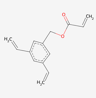 C=CC(=O)OCc1cc(C=C)cc(C=C)c1